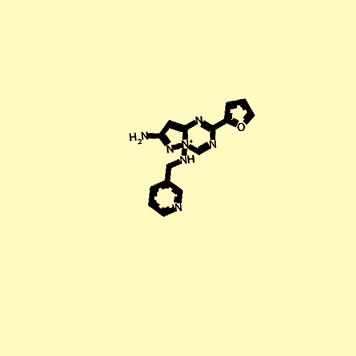 NC1=N[N+]2(NCc3cccnc3)C=NC(c3ccco3)=NC2=C1